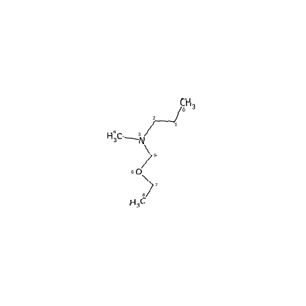 CCCN(C)COCC